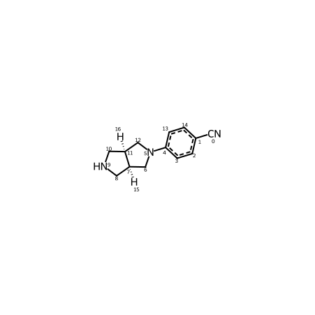 N#Cc1ccc(N2C[C@H]3CNC[C@H]3C2)cc1